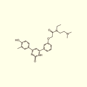 CCN(CCN(C)C)C(=O)COc1cccc(-c2cc(-c3ccc(O)c(C)c3)nc(=O)[nH]2)c1